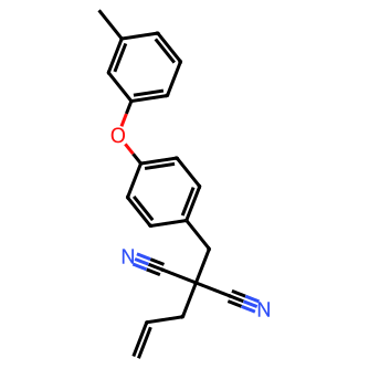 C=CCC(C#N)(C#N)Cc1ccc(Oc2cccc(C)c2)cc1